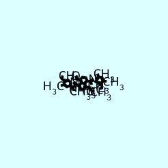 CCc1cc(/N=C(\C)c2ccc(C=O)c3c(-c4nc5cc(CC)c(C)cc5n4C)ccc(COC)c23)c(C)cc1C